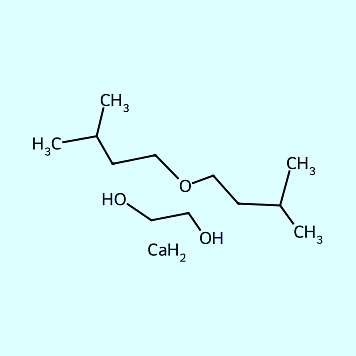 CC(C)CCOCCC(C)C.OCCO.[CaH2]